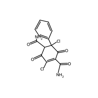 NC(=O)C1=C(Cl)C(=O)C(C(N)=O)C(Cl)(c2ccccc2)C1=O